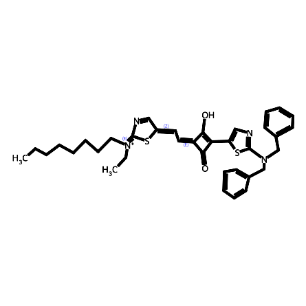 CCCCCCCC/[N+](CC)=C1N=C/C(=C/C=C2/C(=O)C(c3cnc(N(Cc4ccccc4)Cc4ccccc4)s3)=C2O)S\1